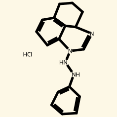 C1=NC2CCCc3cccc(c32)N1NNc1ccccc1.Cl